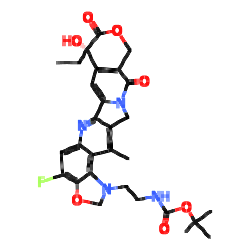 CC[C@@]1(O)C(=O)OCc2c1cc1n(c2=O)Cc2c-1nc1cc(F)c3c(c1c2C)N(CCNC(=O)OC(C)(C)C)CO3